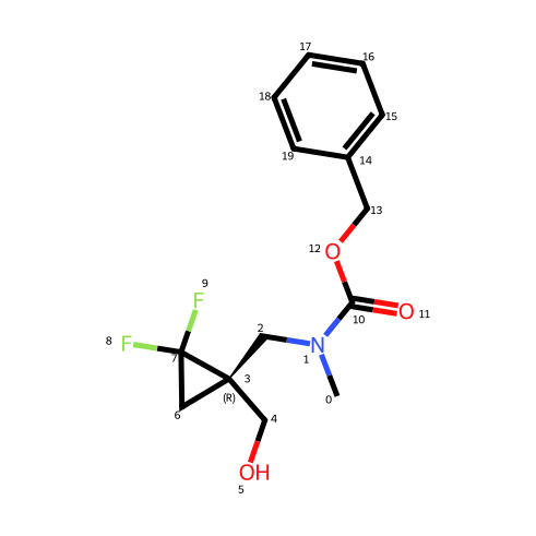 CN(C[C@@]1(CO)CC1(F)F)C(=O)OCc1ccccc1